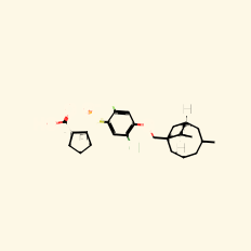 CC1CCCC2(COc3cc(F)c([S+]([O-])[C@@H]4CCC[C@H]4C(=O)O)cc3Cl)C[C@H](C1)[C@H]2C